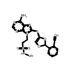 C#Cc1ccccc1C1OC=C(Sc2nc3c(N)ncnc3n2CCS(=O)(=O)NCCC)O1